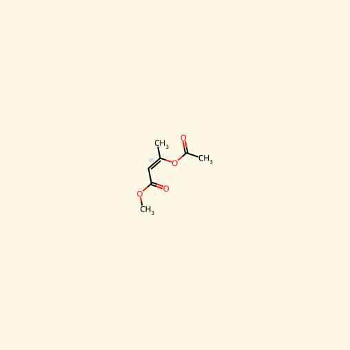 COC(=O)/C=C(/C)OC(C)=O